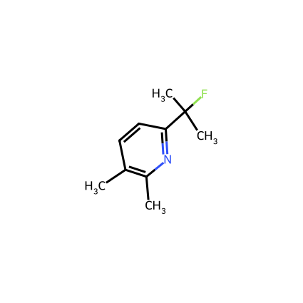 Cc1ccc(C(C)(C)F)nc1C